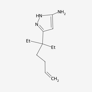 C=CCCC(CC)(CC)c1cc(N)[nH]n1